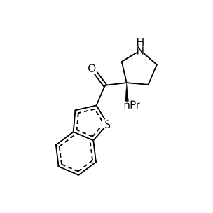 CCC[C@]1(C(=O)c2cc3ccccc3s2)CCNC1